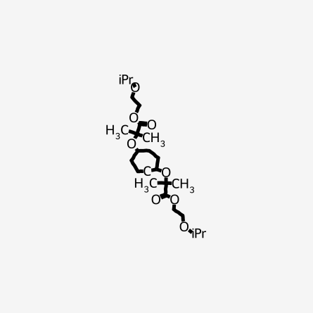 CC(C)OCCOC(=O)C(C)(C)OC1CCCC(OC(C)(C)C(=O)OCCOC(C)C)CC1